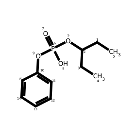 CCC(CC)OP(=O)(O)Oc1ccccc1